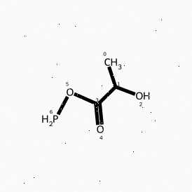 CC(O)C(=O)OP